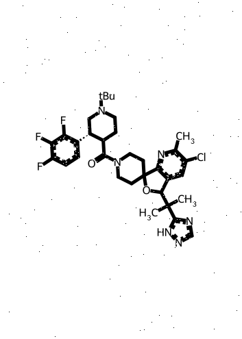 Cc1nc2c(cc1Cl)C(C(C)(C)c1ncn[nH]1)OC21CCN(C(=O)C2CCN(C(C)(C)C)C[C@H]2c2ccc(F)c(F)c2F)CC1